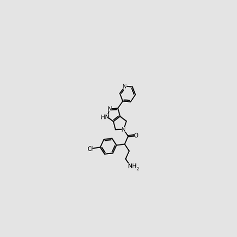 NCCC(C(=O)N1Cc2[nH]nc(-c3cccnc3)c2C1)c1ccc(Cl)cc1